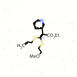 C=CCS/C(SCCOC)=C(/C(=O)OCC)c1cccnc1